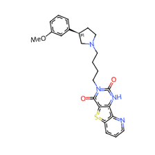 COc1cccc([C@H]2CCN(CCCCn3c(=O)[nH]c4c(sc5cccnc54)c3=O)C2)c1